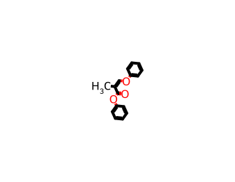 CC(=COc1ccccc1)C(=O)Oc1ccccc1